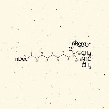 CCCCCCCCCCCCCCCCCCC(CC(=O)[O-])(C[N+](C)(C)C)OCCCCC